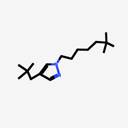 CC(C)(C)CCCCCn1cc(CC(C)(C)C)cn1